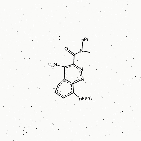 CCCCCc1cccc2c(N)c(C(=O)N(C)CCC)nnc12